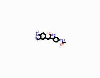 CC(=O)Nc1ccc2c(c1)NC(=O)C2=Cc1ccc2[nH]ncc2c1